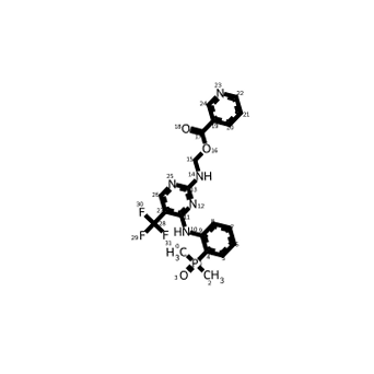 CP(C)(=O)c1ccccc1Nc1nc(NCOC(=O)c2cccnc2)ncc1C(F)(F)F